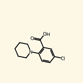 O=C(O)c1cc(Cl)ccc1N1CCCCC1